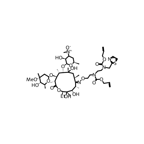 C=CCOC(=O)N(CCO/N=C1\[C@H](C)C[C@@](C)(O)[C@@H](O[C@@H]2O[C@H](C)CC([N+](C)(C)[O-])[C@@H]2O)[C@@H](C)[C@H](O[C@H]2C[C@@](C)(OC)[C@@H](O)[C@H](C)O2)[C@@H](C)C(=O)O[C@H](CC)[C@@](C)(O)[C@@H](O)[C@H]1C)CCN(Cc1nccs1)C(=O)OCC=C